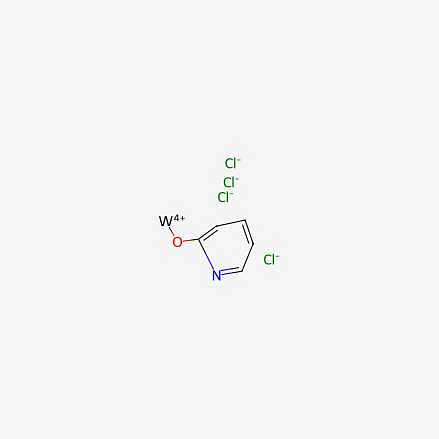 [Cl-].[Cl-].[Cl-].[Cl-].[W+4][O]c1ccccn1